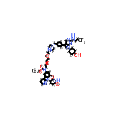 CC(C)(C)OC(=O)N(CCOCCOCCN1CCN(Cc2ccc(-c3cn(C4CCC(O)CC4)c4nc(NCCC(F)(F)F)ncc34)cc2)CC1)c1ccc2c(c1)c1cccnc1n2C1CCC(=O)NC1=O